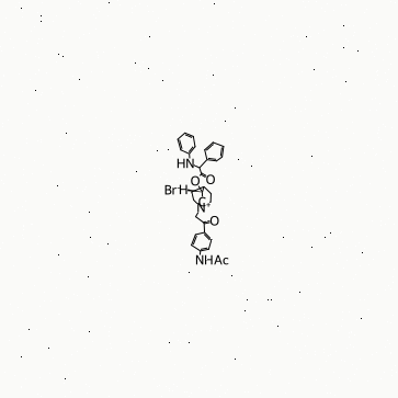 CC(=O)Nc1ccc(C(=O)C[N+]23CCC(CC2)[C@@H](OC(=O)C(Nc2ccccc2)c2ccccc2)C3)cc1.[Br-]